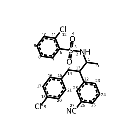 CC(NS(=O)(=O)c1ccccc1Cl)C(Cc1ccc(Cl)cc1)c1cccc(C#N)c1